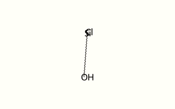 C[Si](C)(Cl)CCCCCCCCCCCCCCCCCCCCCCCCCCCCCCCCCO